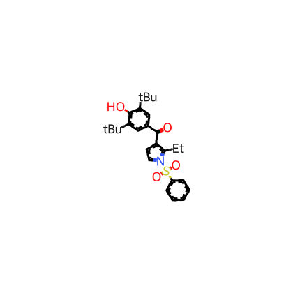 CCc1c(C(=O)c2cc(C(C)(C)C)c(O)c(C(C)(C)C)c2)ccn1S(=O)(=O)c1ccccc1